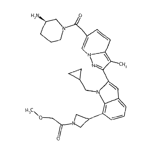 COCC(=O)N1CC(c2cccc3cc(-c4nn5cc(C(=O)N6CCC[C@@H](N)C6)ccc5c4C)n(CC4CC4)c23)C1